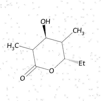 CC[C@@H]1OC(=O)C(C)[C@@H](O)C1C